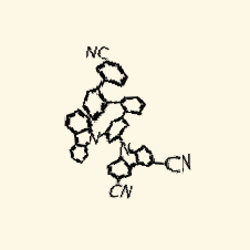 N#Cc1cccc(-c2ccccc2-c2ccccc2-c2cc(-n3c4ccccc4c4ccccc43)cc(-n3c4ccc(C#N)cc4c4cc(C#N)ccc43)c2)c1